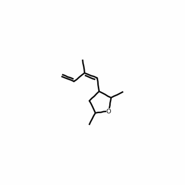 C=C/C(C)=C\C1CC(C)OC1C